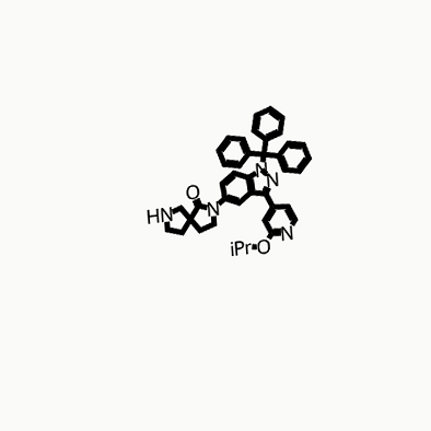 CC(C)Oc1cc(-c2nn(C(c3ccccc3)(c3ccccc3)c3ccccc3)c3ccc(N4CCC5(CCNC5)C4=O)cc23)ccn1